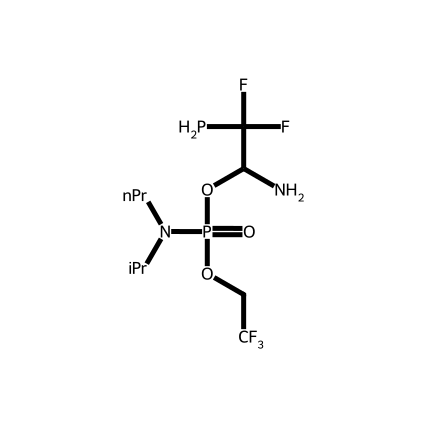 CCCN(C(C)C)P(=O)(OCC(F)(F)F)OC(N)C(F)(F)P